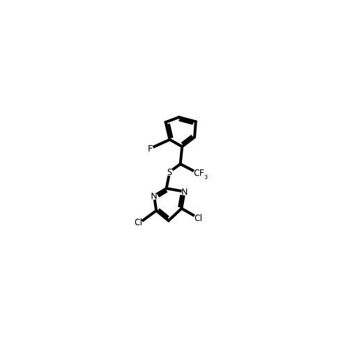 Fc1ccccc1C(Sc1nc(Cl)cc(Cl)n1)C(F)(F)F